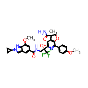 COc1ccc(-c2nc([C@](O)(CNC(=O)c3cc(OC)c4nn(C5CC5)cc4c3)C(F)(F)F)cc3c2OC[C@]3(C)C(N)=O)cc1